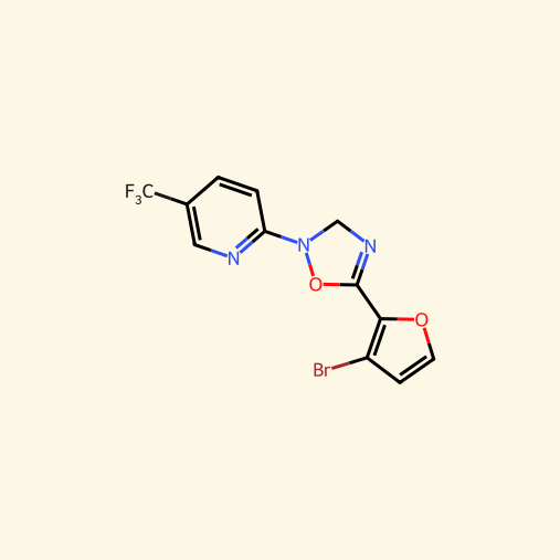 FC(F)(F)c1ccc(N2CN=C(c3occc3Br)O2)nc1